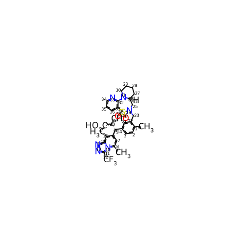 Cc1ccc([C@H](c2cc(C)n3c(C(F)(F)F)nnc3c2C)C(C)C(=O)O)cc1CN1C[C@@H]2CCCCN2c2ncccc2S1(=O)=O